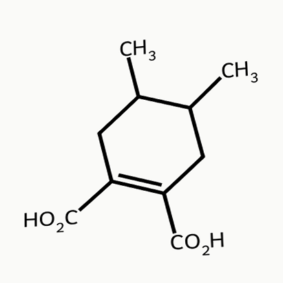 CC1CC(C(=O)O)=C(C(=O)O)CC1C